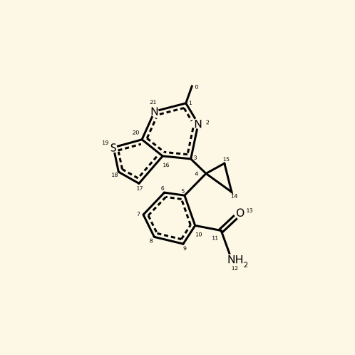 Cc1nc(C2(c3ccccc3C(N)=O)CC2)c2ccsc2n1